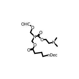 CCCCCCCCCCCCCC(=O)OCN(COC=O)C(=O)OCCN(C)C